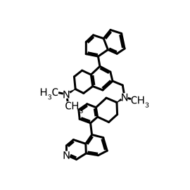 CN(C)[C@H]1CCc2c(cc(CN(C)[C@H]3CCc4c(cccc4-c4cccc5cnccc45)C3)cc2-c2cccc3ccccc23)C1